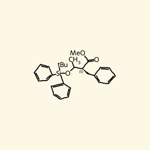 COC(=O)[C@@H](Cc1ccccc1)C(C)O[Si](c1ccccc1)(c1ccccc1)C(C)(C)C